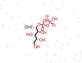 O=C[C@H](OP(=O)(O)OP(=O)(O)O)[C@@H](O)[C@@H](O)[C@H](O)CO